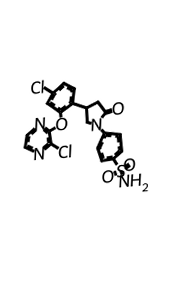 NS(=O)(=O)c1ccc(N2CC(c3ccc(Cl)cc3Oc3nccnc3Cl)CC2=O)cc1